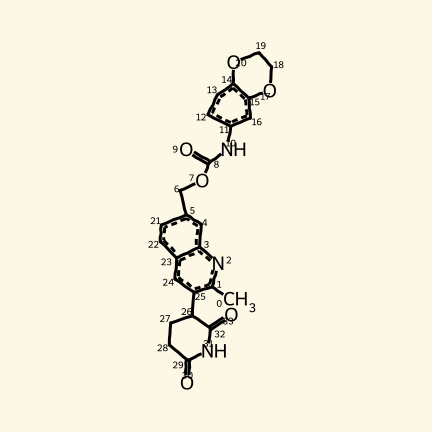 Cc1nc2cc(COC(=O)Nc3ccc4c(c3)OCCO4)ccc2cc1C1CCC(=O)NC1=O